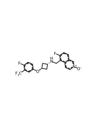 [O-][n+]1ccc2c(CN[C@H]3C[C@H](Oc4ccc(F)c(C(F)(F)F)c4)C3)c(F)ccc2c1